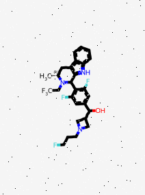 C[C@@H]1Cc2c([nH]c3ccccc23)C(c2c(F)cc(C(O)C3CN(CCCF)C3)cc2F)N1CC(F)(F)F